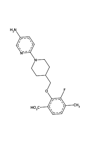 Cc1ccc(C(=O)O)c(OCC2CCN(c3ccc(N)cn3)CC2)c1F